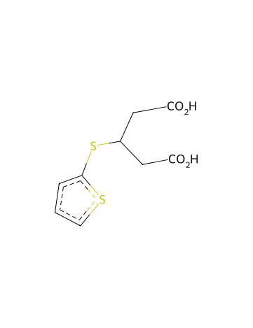 O=C(O)CC(CC(=O)O)Sc1cccs1